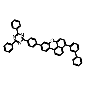 c1ccc(-c2cccc(-c3ccc4c5c(cccc35)-c3ccc(-c5ccc(-c6nc(-c7ccccc7)nc(-c7ccccc7)n6)cc5)cc3O4)c2)cc1